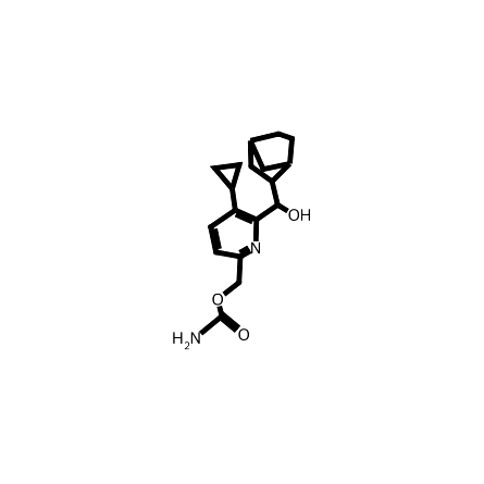 NC(=O)OCc1ccc(C2CC2)c(C(O)C2CC3CCC2C3)n1